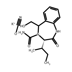 CCC(C)[C@H]1C(=O)Nc2ccccc2C(CO)N1C(N)=O.N#C[O-].[K+]